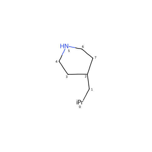 CC(C)CC1CCNCC1